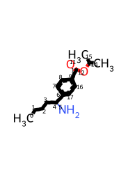 CCCC[C@@H](N)c1ccc(C(=O)OC(C)C)cc1